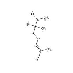 CCC(C)(CCC=C(C)C)C(C)O